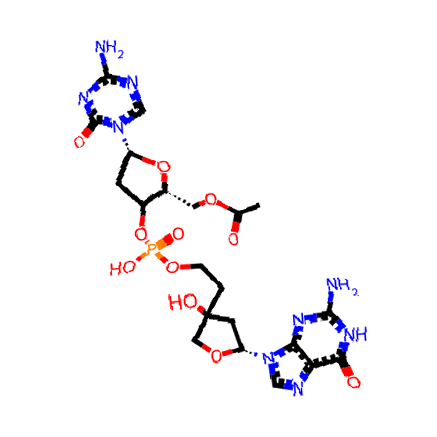 CC(=O)OC[C@H]1O[C@@H](n2cnc(N)nc2=O)CC1OP(=O)(O)OCCC1(O)CO[C@@H](n2cnc3c(=O)[nH]c(N)nc32)C1